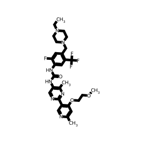 CCN1CCN(Cc2cc(F)c(NC(=O)Nc3cnc(-c4cnc(C)cc4OCCOC)nc3C)cc2C(F)(F)F)CC1